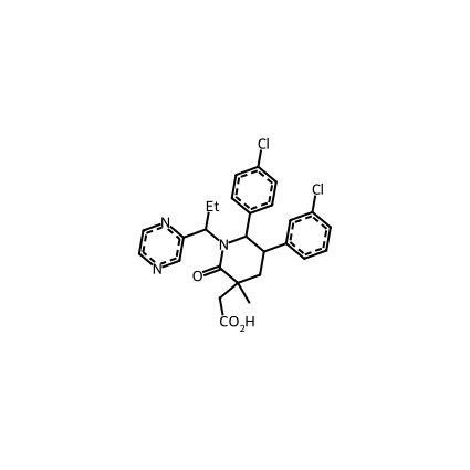 CCC(c1cnccn1)N1C(=O)C(C)(CC(=O)O)CC(c2cccc(Cl)c2)C1c1ccc(Cl)cc1